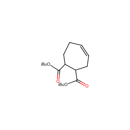 CC(C)COC(=O)C1CC=CCCC1C(=O)OCC(C)C